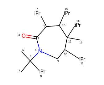 CC(C)C1C(=O)N(C(C)(C)C(C)C)CC(C(C)C)C(C)(C(C)C)C1C(C)C